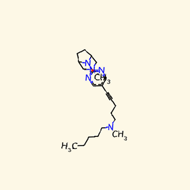 CCCCCN(C)CCCC#Cc1cnc(N2C3CCC2CN(C)C3)nc1